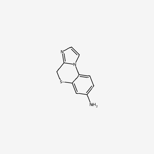 Nc1ccc2c(c1)SCc1nccn1-2